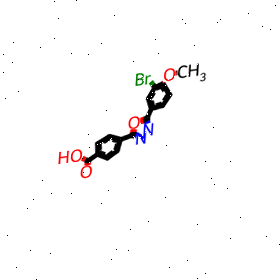 COc1ccc(-c2nnc(-c3ccc(C(=O)O)cc3)o2)cc1Br